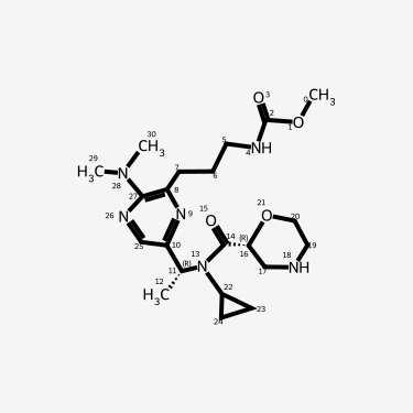 COC(=O)NCCCc1nc([C@@H](C)N(C(=O)[C@H]2CNCCO2)C2CC2)cnc1N(C)C